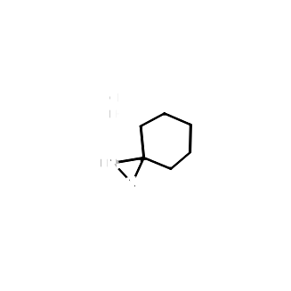 C1CCC2(CC1)NN2.Cl.Cl